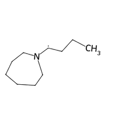 CCC[CH]N1CCCCCC1